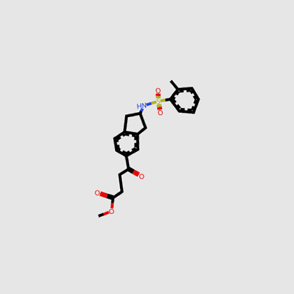 COC(=O)CCC(=O)c1ccc2c(c1)CC(NS(=O)(=O)c1ccccc1C)C2